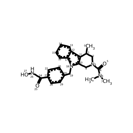 CC1CN(C(=O)N(C)C)Cc2c1c1ccccc1n2Cc1ccc(C(=O)NO)cc1